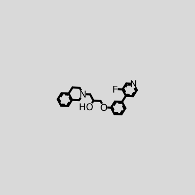 OC(COc1cccc(-c2ccncc2F)c1)CN1CCc2ccccc2C1